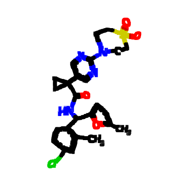 Cc1ccc(C(NC(=O)C2(c3cnc(N4CCS(=O)(=O)CC4)nc3)CC2)c2ccc(Cl)cc2C)o1